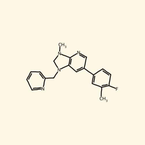 Cc1cc(-c2cnc3c(c2)N(Cc2ccccn2)CN3C)ccc1F